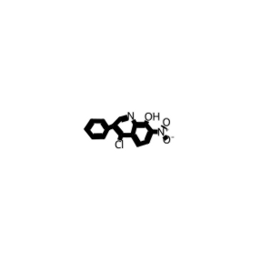 O=[N+]([O-])c1ccc2c(Cl)c(-c3ccccc3)cnc2c1O